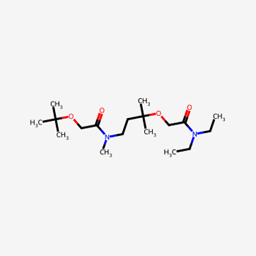 CCN(CC)C(=O)COC(C)(C)CCN(C)C(=O)COC(C)(C)C